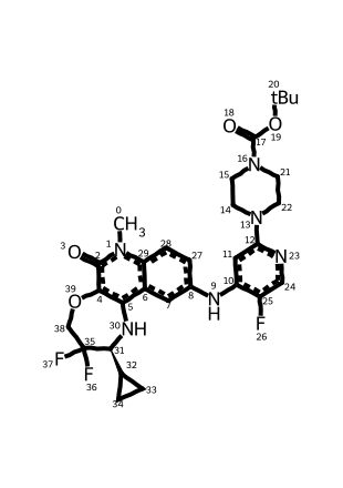 Cn1c(=O)c2c(c3cc(Nc4cc(N5CCN(C(=O)OC(C)(C)C)CC5)ncc4F)ccc31)N[C@@H](C1CC1)C(F)(F)CO2